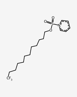 O=S(=O)(OCCCCCCCCCCCC(F)(F)F)[n+]1ccccc1